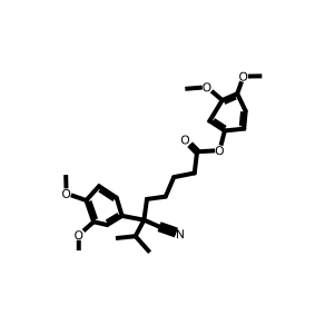 COc1ccc(OC(=O)CCCCC(C#N)(c2ccc(OC)c(OC)c2)C(C)C)cc1OC